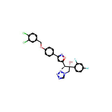 C[C@@H](c1cc(-c2ccc(OCc3ccc(Cl)c(Cl)c3)cc2)no1)[C@](O)(Cn1cnnn1)c1ccc(F)cc1F